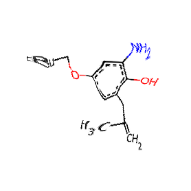 C=C(C)Cc1cc(OCC(C)(C)C)cc(N)c1O